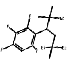 CCC(C)(CC)CC(c1c(F)cc(F)c(F)c1F)C(C)(C)CC